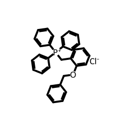 [Cl-].c1ccc(COc2ccccc2C[P+](c2ccccc2)(c2ccccc2)c2ccccc2)cc1